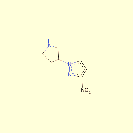 O=[N+]([O-])c1ccn(C2CCNC2)n1